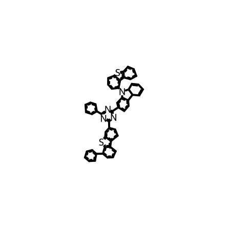 C1=CC2c3ccc(-c4nc(-c5ccccc5)nc(-c5ccc6c(c5)sc5c(-c7ccccc7)cccc56)n4)cc3N(c3cccc4sc5ccccc5c34)C2C=C1